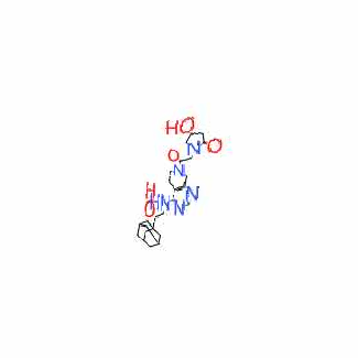 O=C(CN1CC(O)CC1=O)N1CCc2c(ncnc2NCC(O)C23CC4CC(CC(C4)C2)C3)C1